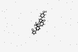 O=C1CCCN1c1ccc(N2CCCC3(CCN([C@H]4CC[C@H](O)CC4)C3=O)C2)c(C(F)(F)F)c1